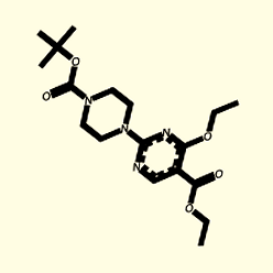 CCOC(=O)c1cnc(N2CCN(C(=O)OC(C)(C)C)CC2)nc1OCC